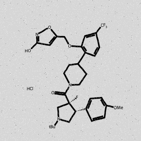 COc1ccc([C@@H]2CN(C(C)(C)C)C[C@@]2(F)C(=O)N2CCC(c3ccc(C(F)(F)F)cc3OCc3cc(O)no3)CC2)cc1.Cl